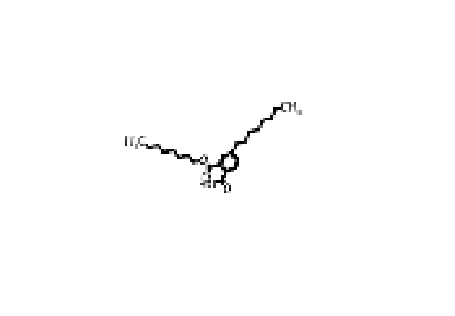 CCCCCCCCOC(=O)c1cc(CCCCCCCC)ccc1C(=O)O